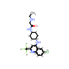 CCNCC(=O)N[C@H]1CC[C@@H](Nc2cc(C(F)(F)F)nc3ccc(Cl)cc23)CC1